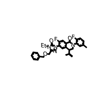 C=C(C)C1CN(c2cc(C)ccc2F)C(=O)c2cc(F)c(-n3nc(COCc4ccccc4)n(CC)c3=O)cc21